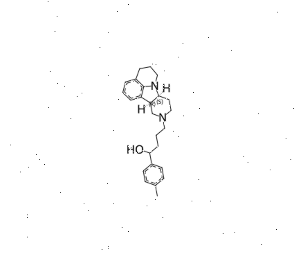 Cc1ccc(C(O)CCCN2CC[C@H]3[C@@H](C2)c2cccc4c2N3CCC4)cc1